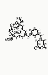 CCO[Si](CCCN(CCC[Si](OCC)(OCC)OCC)Cc1cccc(CN(CC2CO2)CC2CO2)c1)(OCC)OCC